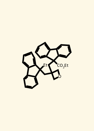 CCOC(=O)C1(CC2(CC3(CC)c4ccccc4-c4ccccc43)COC2)c2ccccc2-c2ccccc21